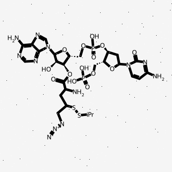 CC(C)SSC(CN=[N+]=[N-])CC(N)C(=O)O[C@@H]1[C@@H](COP(=O)(O)O[C@H]2CC(n3ccc(N)nc3=O)O[C@@H]2COP(=O)(O)O)OC(n2cnc3c(N)ncnc32)[C@@H]1O